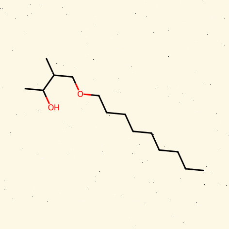 CCCCCCCCCOCC(C)C(C)O